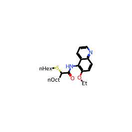 CCCCCCCCC(SCCCCCC)C(=O)Nc1c(OCC)ccc2ncccc12